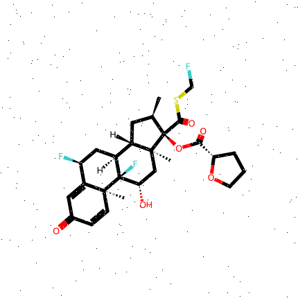 C[C@@H]1C[C@H]2[C@@H]3C[C@H](F)C4=CC(=O)C=C[C@]4(C)[C@@]3(F)[C@@H](O)C[C@]2(C)[C@@]1(OC(=O)[C@@H]1CCCO1)C(=O)SCF